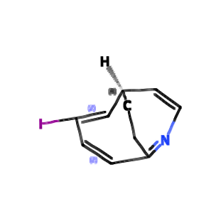 IC1=C\[C@H]2C=CN=C(/C=C\1)CC2